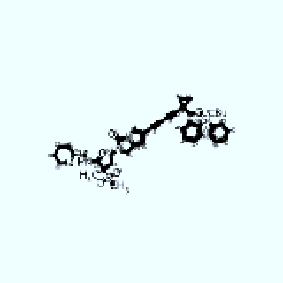 CC(C)(C)[Si](OCC1(C#CC#Cc2cc3n(c2)C(=O)N(CC[C@](C)(C(=O)NO[C@H]2CCCCO2)S(C)(=O)=O)C3)CC1)(c1ccccc1)c1ccccc1